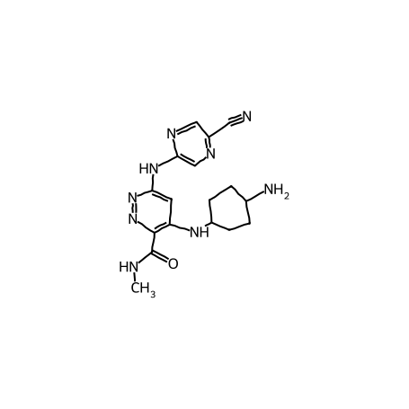 CNC(=O)c1nnc(Nc2cnc(C#N)cn2)cc1NC1CCC(N)CC1